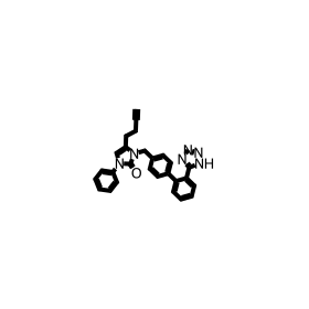 C#CCCc1cn(-c2ccccc2)c(=O)n1Cc1ccc(-c2ccccc2-c2nnn[nH]2)cc1